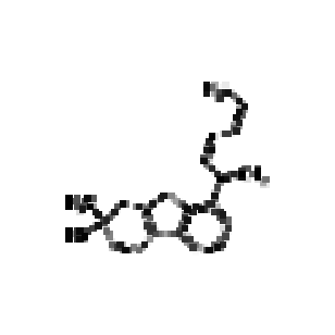 C=C(/C=C\C=C/C)c1cccc2c1CC1=C2C=CC(C)(S)C1